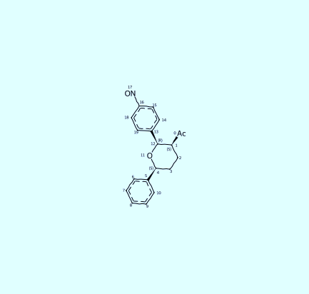 CC(=O)[C@H]1CC[C@@H](c2ccccc2)O[C@H]1c1ccc(N=O)cc1